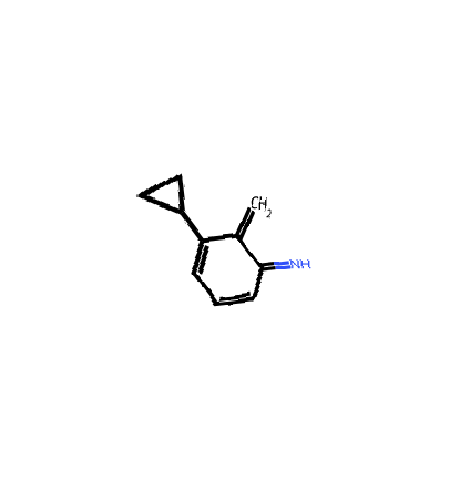 C=C1C(=N)C=CC=C1C1CC1